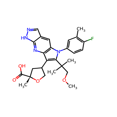 COCC(C)(C)c1c(C2CO[C@](C)(C(=O)O)C2)c2nc3[nH]ncc3cc2n1-c1ccc(F)c(C)c1